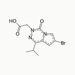 CC(C)c1nn(CC(=O)O)c(=O)n2cc(Br)cc12